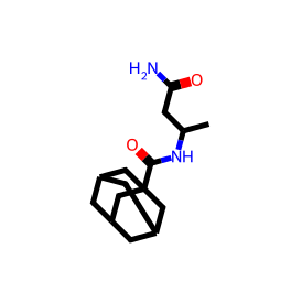 CC(CC(N)=O)NC(=O)C12CC3CC(CC(C3)C1)C2